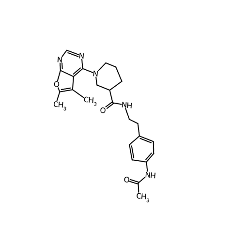 CC(=O)Nc1ccc(CCNC(=O)C2CCCN(c3ncnc4oc(C)c(C)c34)C2)cc1